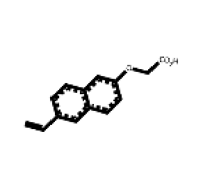 C=Cc1ccc2cc(OCC(=O)O)ccc2c1